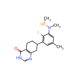 CPN(C)c1cc(C)cc(C2CCc3c(nc[nH]c3=O)C2)c1F